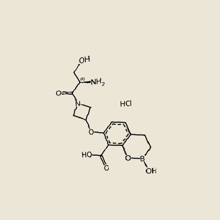 Cl.N[C@H](CO)C(=O)N1CC(Oc2ccc3c(c2C(=O)O)OB(O)CC3)C1